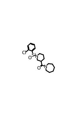 O=C(C1CCCN([S+]([O-])c2ccccc2Cl)C1)N1CCCCCC1